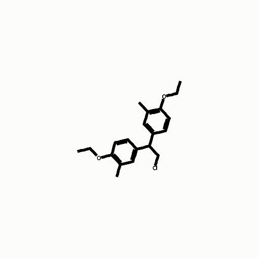 CCOc1ccc(C(CCl)c2ccc(OCC)c(C)c2)cc1C